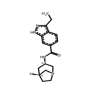 CCc1n[nH]c2cc(C(=O)N[C@@H]3C[C@H]4CCN(C4)C3)ccc12